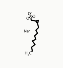 CCCCCCCCCCC1CC1CS(=O)(=O)[O-].[Na+]